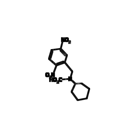 O=C(O)N(Cc1cc([N+](=O)[O-])ccc1[N+](=O)[O-])C1CCCCC1